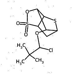 CC(C)(C)C(Cl)OC1C2CC3C(S2)C1OS3(=O)=O